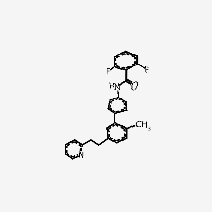 Cc1ccc(CCc2ccccn2)cc1-c1ccc(NC(=O)c2c(F)cccc2F)cc1